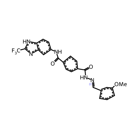 COc1cccc(/C=N/NC(=O)c2ccc(C(=O)Nc3ccc4[nH]c(C(F)(F)F)nc4c3)cc2)c1